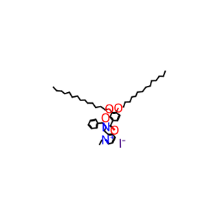 CCCCCCCCCCCCCCOc1ccc(C(=O)N(Cc2cccc[n+]2CC)C(=O)c2ccccc2)cc1OCCCCCCCCCCCCCC.[I-]